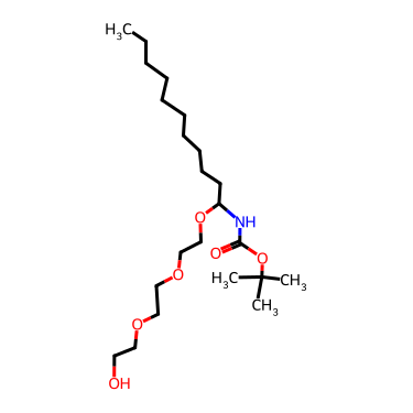 CCCCCCCCCCC(NC(=O)OC(C)(C)C)OCCOCCOCCO